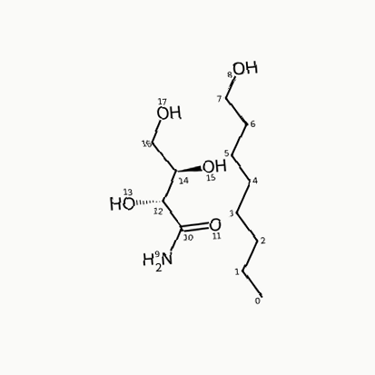 CCCCCCCCO.NC(=O)[C@H](O)[C@H](O)CO